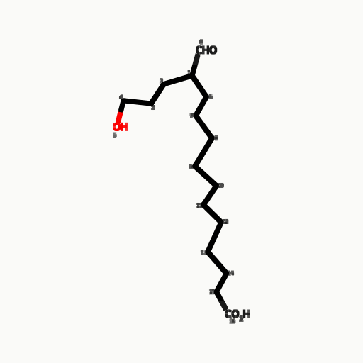 O=CC(CCCO)CCCCCCCCCCC(=O)O